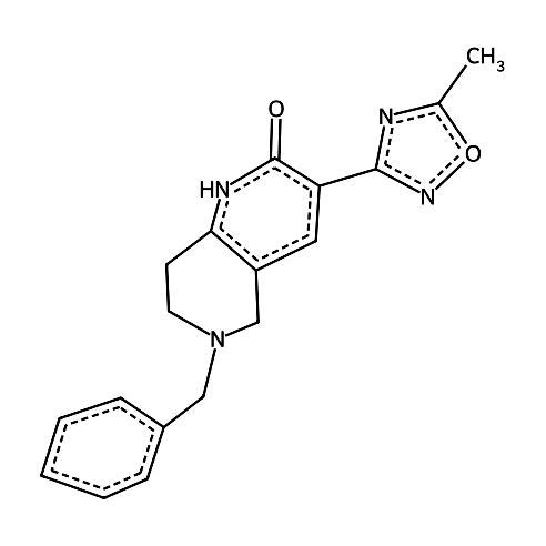 Cc1nc(-c2cc3c([nH]c2=O)CCN(Cc2ccccc2)C3)no1